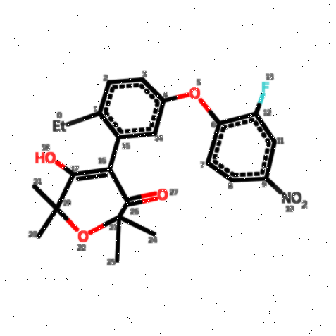 CCc1ccc(Oc2ccc([N+](=O)[O-])cc2F)cc1C1=C(O)C(C)(C)OC(C)(C)C1=O